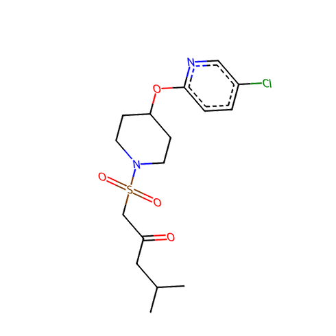 CC(C)CC(=O)CS(=O)(=O)N1CCC(Oc2ccc(Cl)cn2)CC1